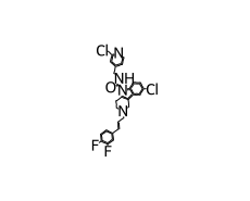 O=C(NCc1ccnc(Cl)c1)n1c2c(c3cc(Cl)ccc31)CN(CC=Cc1ccc(F)c(F)c1)CC2